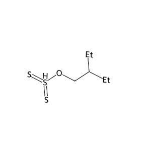 CCC(CC)CO[SH](=S)=S